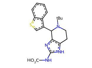 CC(C)(C)N1CCc2[nH]c(NC(=O)O)nc2C1c1csc2ccccc12